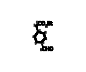 CCOC(=O)C[C@H]1CC[C@H](C=O)CC1